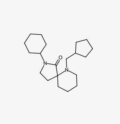 O=C1N(C2CCCCC2)CCC12CCCCN2CC1CCCC1